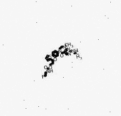 CCNc1ncc2c(n1)N(C)CCN(c1cccc(OC(CCOC(=O)NCCF)c3cccs3)c1)C2=O